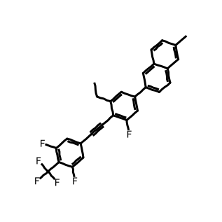 CCc1cc(-c2ccc3cc(C)ccc3c2)cc(F)c1C#Cc1cc(F)c(C(F)(F)F)c(F)c1